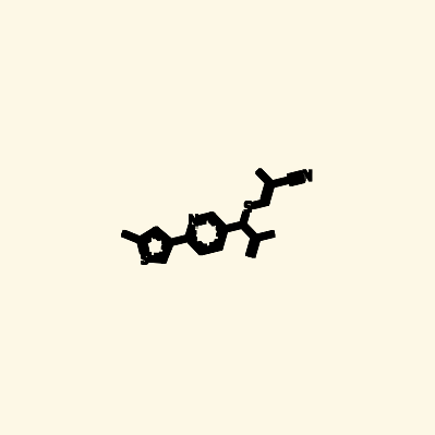 C=C(C)C(S/C=C(\C)C#N)c1ccc(-c2csc(C)c2)nc1